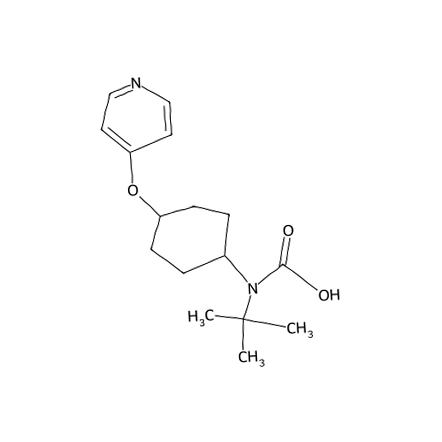 CC(C)(C)N(C(=O)O)C1CCC(Oc2ccncc2)CC1